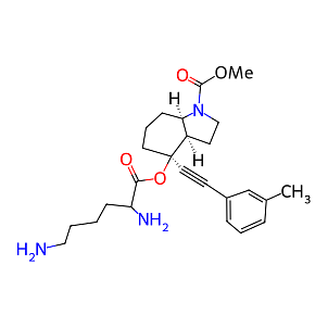 COC(=O)N1CC[C@@H]2[C@H]1CCC[C@]2(C#Cc1cccc(C)c1)OC(=O)C(N)CCCCN